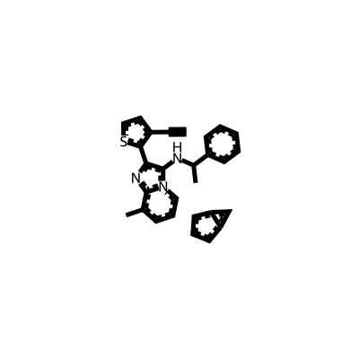 C#Cc1ccsc1-c1nc2c(C)cccn2c1NC(C)c1ccccc1.c1cc2cc-2c1